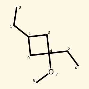 CCC1CC(CC)(OC)C1